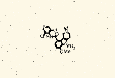 COc1ccc(C(=O)Nc2c(Cl)cncc2Cl)c2c3c(n(C)c12)CCN(Cl)C3